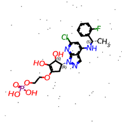 C[C@H](Nc1cc(Cl)nc2c1cnn2[C@@H]1CC(OCCOP(=O)(O)O)=C(O)[C@H]1O)c1ccccc1F